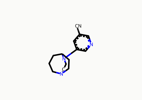 N#Cc1cncc(N2CCN3CCCC2CC3)c1